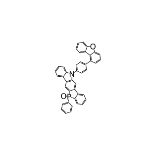 O=P1(c2ccccc2)c2ccccc2-c2cc3c(cc21)c1ccccc1n3-c1ccc(-c2cccc3oc4ccccc4c23)cc1